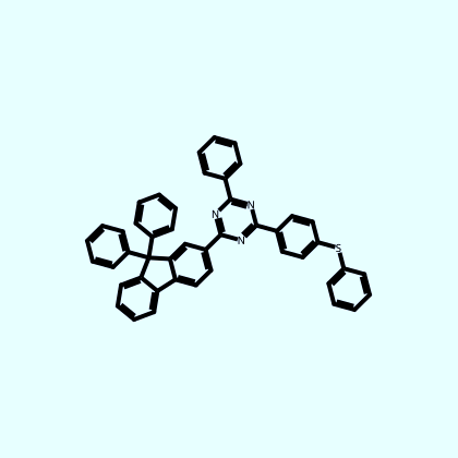 c1ccc(Sc2ccc(-c3nc(-c4ccccc4)nc(-c4ccc5c(c4)C(c4ccccc4)(c4ccccc4)c4ccccc4-5)n3)cc2)cc1